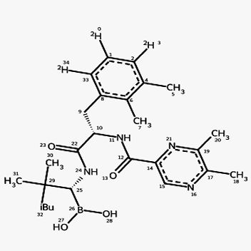 [2H]c1c([2H])c(C)c(C)c(C[C@H](NC(=O)c2cnc(C)c(C)n2)C(=O)N[C@H](B(O)O)C(C)(C)C(C)CC)c1[2H]